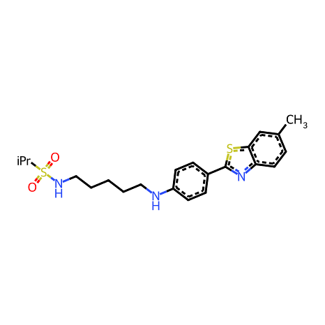 Cc1ccc2nc(-c3ccc(NCCCCCNS(=O)(=O)C(C)C)cc3)sc2c1